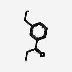 [CH2]Cc1cccc(C(=O)CC)c1